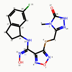 Cn1c(CSc2nonc2/C(=N\O)NC2CCc3ccc(F)cc32)n[nH]c1=O